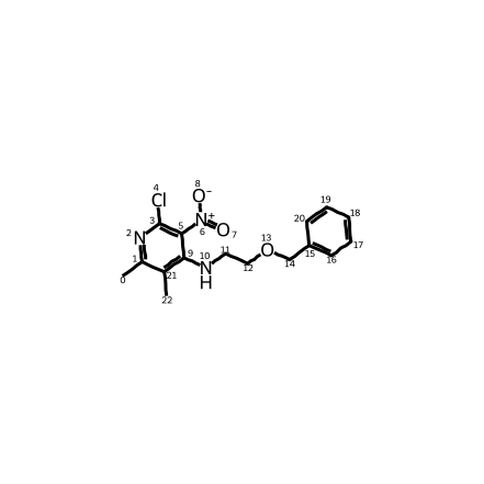 Cc1nc(Cl)c([N+](=O)[O-])c(NCCOCc2ccccc2)c1C